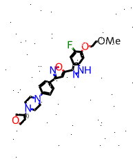 COCCOc1cc2[nH]nc(-c3cc(-c4ccc(N5CCN([C@@H]6CCOC6)CC5)cc4)no3)c2cc1F